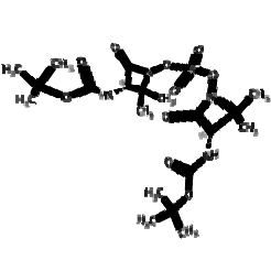 CC(C)(C)OC(=O)N[C@@H]1C(=O)N(OS(=O)(=O)ON2C(=O)[C@@H](NC(=O)OC(C)(C)C)C2(C)C)C1(C)C